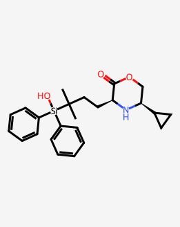 CC(C)(CC[C@@H]1N[C@H](C2CC2)COC1=O)[Si](O)(c1ccccc1)c1ccccc1